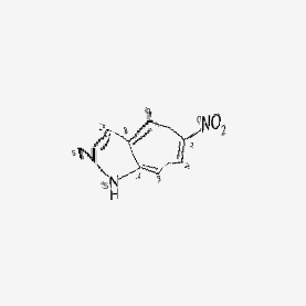 O=[N+]([O-])c1ccc2[nH]n[c]c2c1